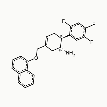 N[C@@H]1CC(COc2cccc3ccccc23)=CC[C@H]1c1cc(F)c(F)cc1F